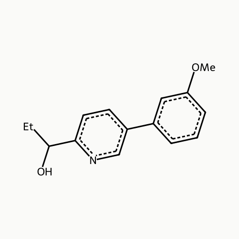 CCC(O)c1ccc(-c2cccc(OC)c2)cn1